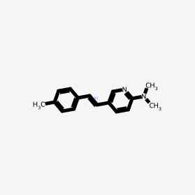 Cc1ccc(/C=C/c2ccc(N(C)C)nc2)cc1